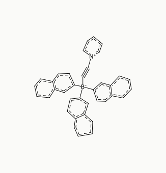 C(#C[B-](c1ccc2ccccc2c1)(c1ccc2ccccc2c1)c1ccc2ccccc2c1)[n+]1ccccc1